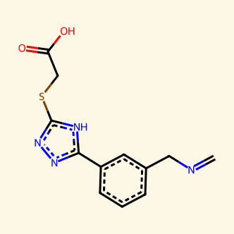 C=NCc1cccc(-c2nnc(SCC(=O)O)[nH]2)c1